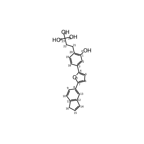 Oc1cc(-c2ccc(-c3ccc4c(c3)C=CC4)o2)ccc1CCC(O)(O)O